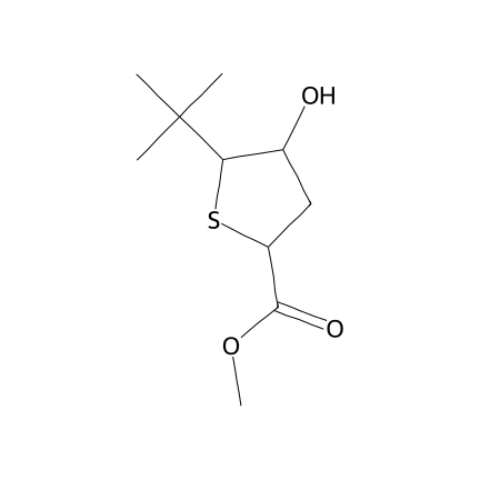 COC(=O)C1CC(O)C(C(C)(C)C)S1